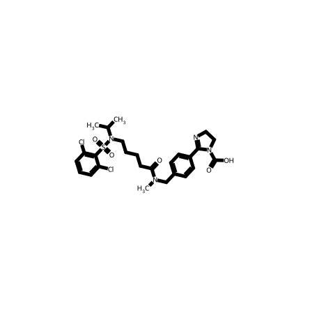 CC(C)N(CCCCC(=O)N(C)Cc1ccc(C2=NCCN2C(=O)O)cc1)S(=O)(=O)c1c(Cl)cccc1Cl